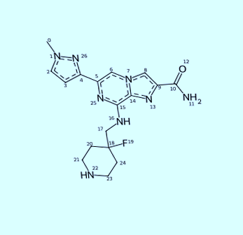 Cn1ccc(-c2cn3cc(C(N)=O)nc3c(NCC3(F)CCNCC3)n2)n1